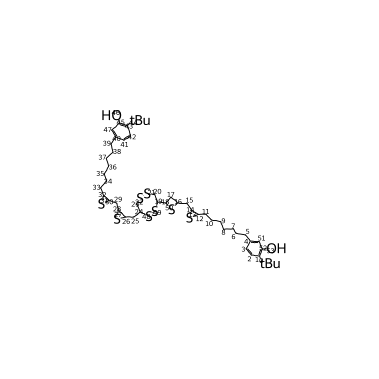 CC(C)(C)c1ccc(CCCCCCCC2SC2CC2CC(C3CSSCC(CC4SC4CC4SC4CCCCCCCc4ccc(C(C)(C)C)c(O)c4)SS3)S2)cc1O